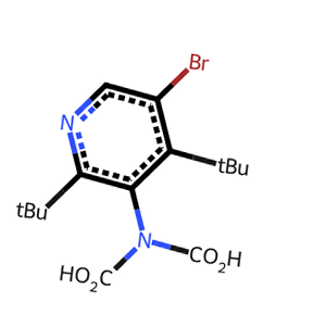 CC(C)(C)c1ncc(Br)c(C(C)(C)C)c1N(C(=O)O)C(=O)O